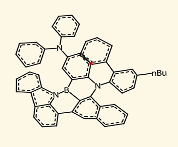 CCCCc1ccc(N2c3ccc(N(c4ccccc4)c4ccccc4)cc3B3c4c(cc5ccccc5c42)-c2cccc4c5ccccc5n3c24)c(-c2ccccc2)c1